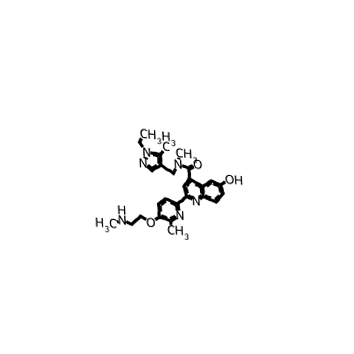 CCn1ncc(CN(C)C(=O)c2cc(-c3ccc(OCCNC)c(C)n3)nc3ccc(O)cc23)c1C